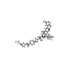 CC(C)(C)[Si](C)(C)OCc1nnc(-c2cc(Cl)ccc2F)cc1Nc1cc(NC(=O)C2CC(N3CCC(C(=O)O[C@H]4CCN(CC(F)(F)F)C4)CC3)C2)ncn1